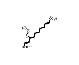 CCCCCCC/C=C/C(CCCCC/C=C/C(=O)O)OOO